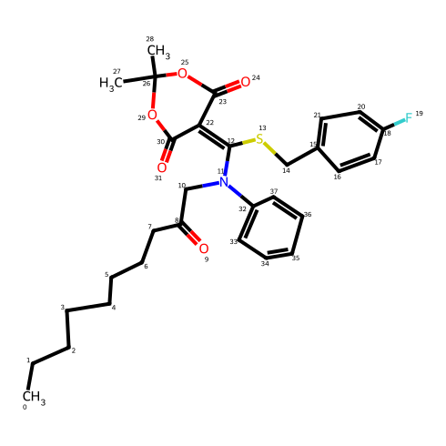 CCCCCCCCC(=O)CN(C(SCc1ccc(F)cc1)=C1C(=O)OC(C)(C)OC1=O)c1ccccc1